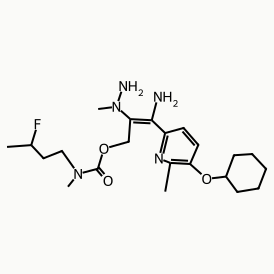 Cc1nc(/C(N)=C(\COC(=O)N(C)CCC(C)F)N(C)N)ccc1OC1CCCCC1